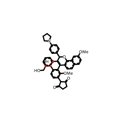 COc1ccc2ccc3c(c2c1)OC(c1ccc(N2CCCC2)cc1)C(OCC(O)CO)=C3c1c(-c2ccccc2)ccc(C2C(=O)CCC2=O)c1OC